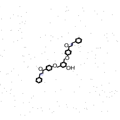 O=C(/C=C/c1ccccc1)c1ccc(OCc2cc(O)cc(COc3ccc(C(=O)/C=C/c4ccccc4)cc3)c2)cc1